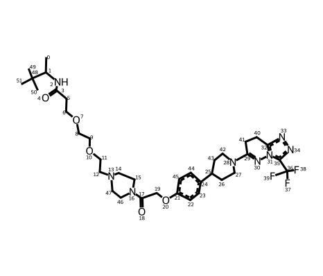 CC(NC(=O)CCOCCOCCN1CCN(C(=O)COc2ccc(C3CCN(C4=Nn5c(nnc5C(F)(F)F)CC4)CC3)cc2)CC1)C(C)(C)C